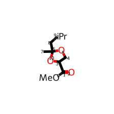 COC(=O)C1COC(C)(CC(C)C)O1